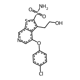 NS(=O)(=O)c1sc2cncc(Oc3ccc(Cl)cc3)c2c1CCO